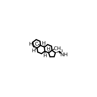 C[C@]12CCCC[C@H]1CC[C@@H]1[C@@H]2CC[C@]2(C)[C@@H](C=N)CC[C@@H]12